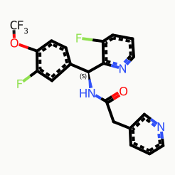 O=C(Cc1cccnc1)N[C@@H](c1ccc(OC(F)(F)F)c(F)c1)c1ncccc1F